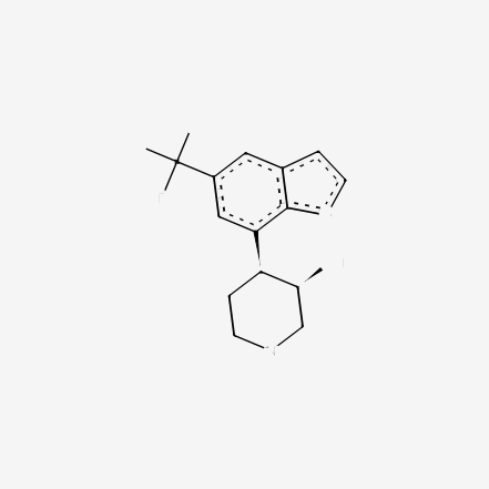 C[C@H]1CNCC[C@H]1c1cc(C(F)(F)F)cc2ccoc12.Cl